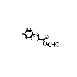 O=COC(=O)/C=C/c1ccccc1